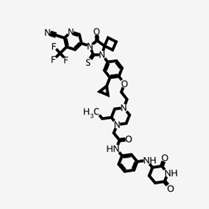 CCC1CN(CCOc2ccc(N3C(=S)N(c4cnc(C#N)c(C(F)(F)F)c4)C(=O)C34CCC4)cc2C2CC2)CCN1CC(=O)Nc1cccc(NC2CCC(=O)NC2=O)c1